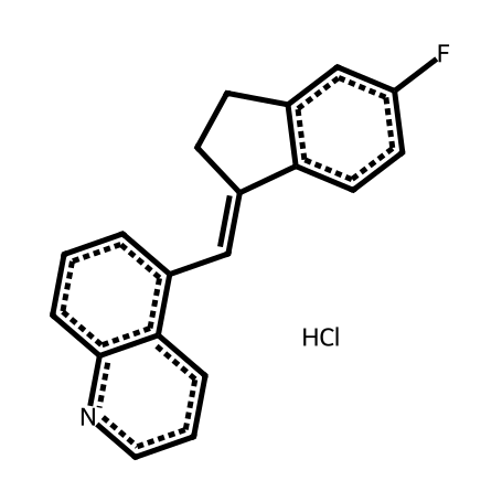 Cl.Fc1ccc2c(c1)CCC2=Cc1cccc2ncccc12